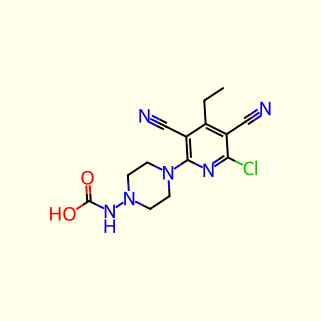 CCc1c(C#N)c(Cl)nc(N2CCN(NC(=O)O)CC2)c1C#N